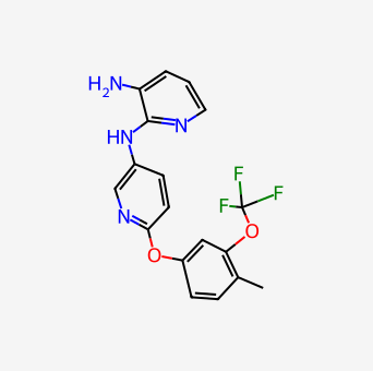 Cc1ccc(Oc2ccc(Nc3ncccc3N)cn2)cc1OC(F)(F)F